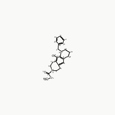 CC(C)(C)OC(=O)N1CCc2cc3c(c(Cl)c2CC1)N(Cc1ccccc1)CCC3